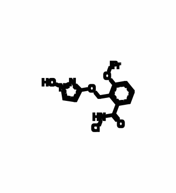 CC(C)Oc1cccc(C(=O)NCl)c1COc1ccn(O)n1